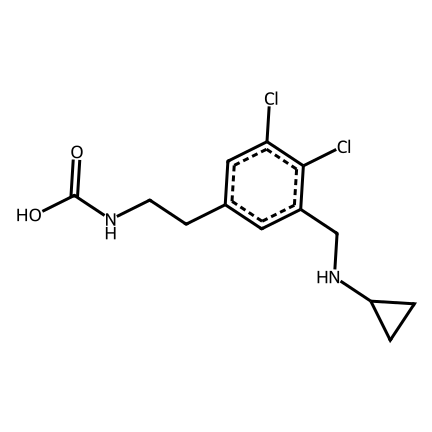 O=C(O)NCCc1cc(Cl)c(Cl)c(CNC2CC2)c1